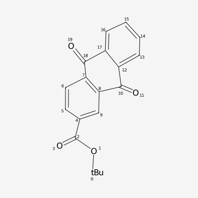 CC(C)(C)OC(=O)c1ccc2c(c1)C(=O)c1ccccc1C2=O